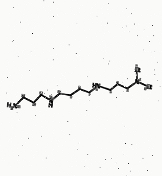 CCN(CC)CCCNCCCCNCCCN